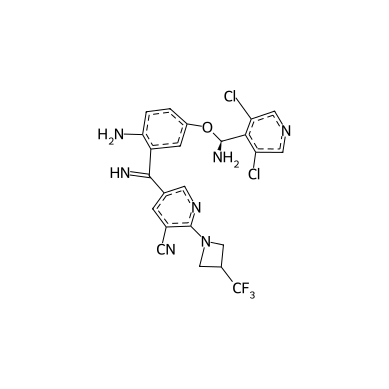 N#Cc1cc(C(=N)c2cc(O[C@H](N)c3c(Cl)cncc3Cl)ccc2N)cnc1N1CC(C(F)(F)F)C1